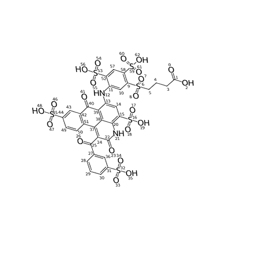 O=C(O)CCCS(=O)(=O)c1cc(Nc2cc(S(=O)(=O)O)c3[nH]c(=O)c(C(=O)c4cccc(S(=O)(=O)O)c4)c4c3c2C(=O)c2cc(S(=O)(=O)O)ccc2-4)c(S(=O)(=O)O)cc1S(=O)(=O)O